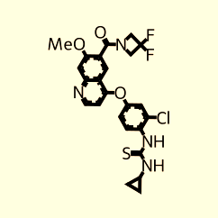 COc1cc2nccc(Oc3ccc(NC(=S)NC4CC4)c(Cl)c3)c2cc1C(=O)N1CC(F)(F)C1